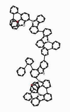 c1ccc(-c2ccccc2-c2ccc(-n3c4ccccc4c4c(-c5cccc6c5c5ccccc5n6-c5ccccc5-c5cccc(-c6ccc7sc8c(-n9c%10ccccc%10c%10c(-c%11cccc%12c%13ccccc%13n(-c%13ccccc%13-c%13ccccc%13)c%11%12)cccc%109)ccc(-c9ccccc9-c9ccccc9)c8c7c6)c5)cccc43)c3oc4ccccc4c23)cc1